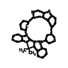 CC1(C)c2c3ccccc3n3c4cccc(c4)c4ccc5sc6cnc(cc6c5c4)c4cccc(c4)n4c5ccccc5c1c4c23